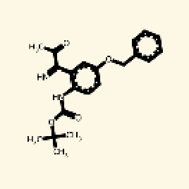 CC(=O)C(=N)c1cc(OCc2ccccc2)ccc1NC(=O)OC(C)(C)C